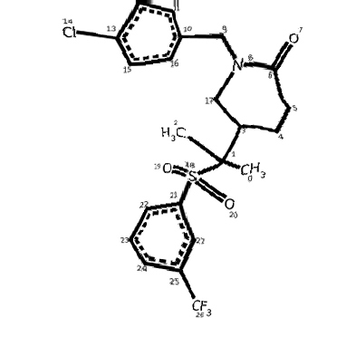 CC(C)(C1CCC(=O)N(Cc2ccc(Cl)cc2)C1)S(=O)(=O)c1cccc(C(F)(F)F)c1